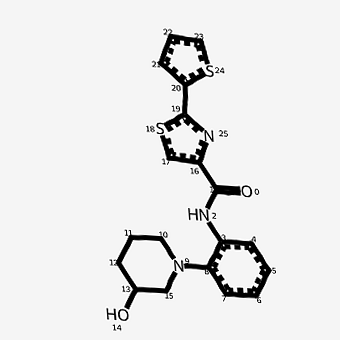 O=C(Nc1ccccc1N1CCCC(O)C1)c1csc(-c2cccs2)n1